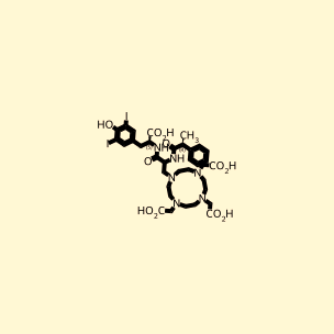 C[C@@H](C(=O)NC(CN1CCN(CC(=O)O)CCN(CC(=O)O)CCN(CC(=O)O)CC1)C(=O)N[C@@H](Cc1cc(I)c(O)c(I)c1)C(=O)O)c1ccccc1